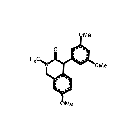 COc1cc(OC)cc(C2C(=O)N(C)Cc3cc(OC)ccc32)c1